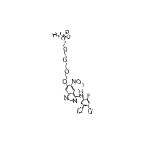 CS(=O)(=O)OCCOCCOCCOCCOc1cc2ncnc(Nc3cc(Cl)c(Cl)cc3F)c2cc1[N+](=O)[O-]